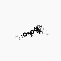 Cn1nc(-c2ccc(OCC3CCC(N)CC3)c(F)c2)c2cnc(N)nc21